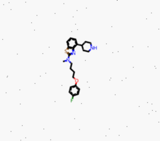 CN(CCCCOc1ccc(F)cc1)c1nc2c(C3CCNCC3)cccc2s1